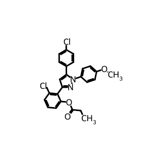 CCC(=O)Oc1cccc(Cl)c1-c1cc(-c2ccc(Cl)cc2)n(-c2ccc(OC)cc2)n1